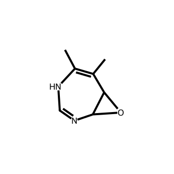 CC1=C(C)C2OC2N=CN1